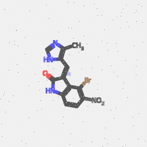 Cc1nc[nH]c1/C=C1\C(=O)Nc2ccc([N+](=O)[O-])c(Br)c21